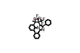 CC1(C)c2cccc3c4ccccc4c4nc(-c5ccccc5)c(n4c23)C1(C(F)(F)F)C(F)(F)F